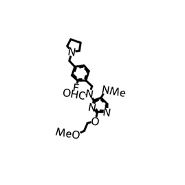 CNc1cnc(OCCOC)nc1N(C=O)Cc1ccc(CN2CCCC2)cc1F